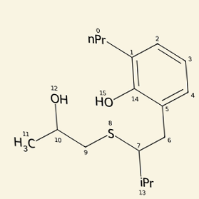 CCCc1cccc(CC(SCC(C)O)C(C)C)c1O